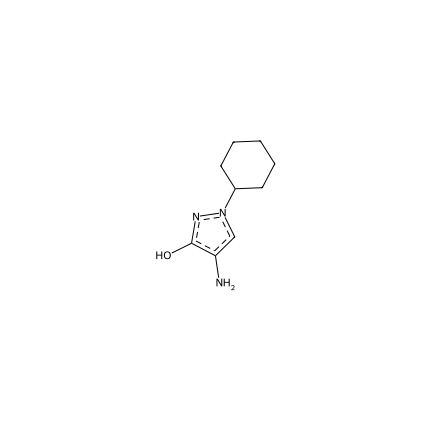 Nc1cn(C2CCCCC2)nc1O